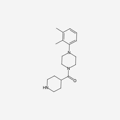 Cc1cccc(N2CCN(C(=O)C3CCNCC3)CC2)c1C